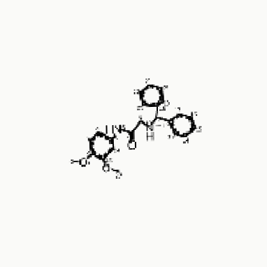 COc1ccc(NC(=O)CNC(c2ccccc2)c2ccccc2)cc1OC